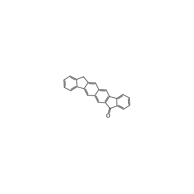 O=C1c2ccccc2-c2cc3cc4c(cc3cc21)-c1ccccc1C4